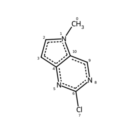 Cn1ccc2nc(Cl)ncc21